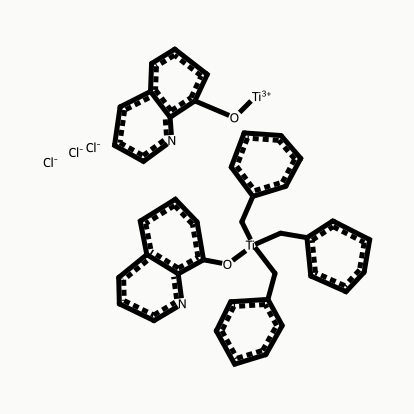 [Cl-].[Cl-].[Cl-].[Ti+3][O]c1cccc2cccnc12.c1ccc([CH2][Ti]([CH2]c2ccccc2)([CH2]c2ccccc2)[O]c2cccc3cccnc23)cc1